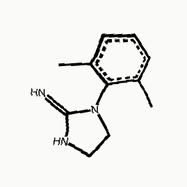 Cc1cccc(C)c1N1CCNC1=N